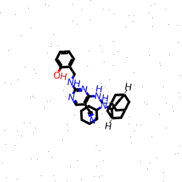 N#Cc1cnc(NCc2ccccc2O)nc1NC[C@@]12CC3C[C@H](C1)C(NC1CCCCC1)[C@@H](C3)C2